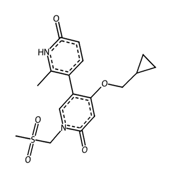 Cc1[nH]c(=O)ccc1-c1cn(CS(C)(=O)=O)c(=O)cc1OCC1CC1